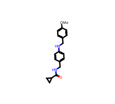 COc1ccc(CNc2ccc(CNC(=O)C3CC3)cc2)cc1